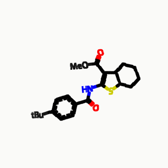 COC(=O)C1=C(NC(=O)c2ccc(C(C)(C)C)cc2)SC2CCCCC12